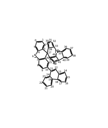 c1ccc2c(c1)Sc1ccc(-c3cc4ccccc4c4ccccc34)cc1C21c2ccccc2-n2c3ccccc3c3cccc1c32